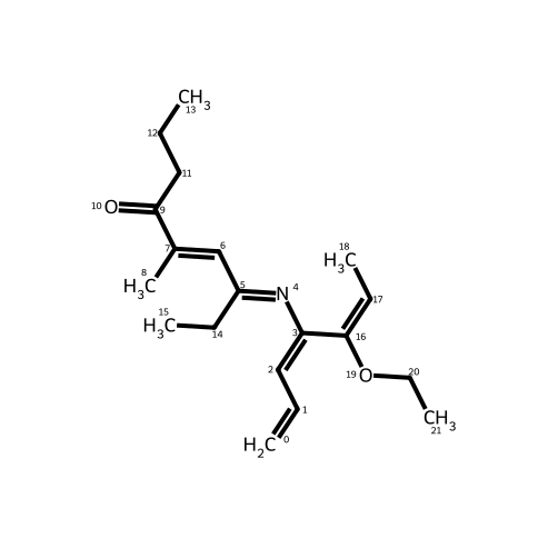 C=C/C=C(/N=C(/C=C(\C)C(=O)CCC)CC)C(=C/C)\OCC